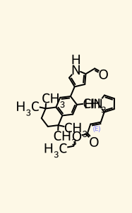 CCOC(=O)/C=C/c1ccc[nH]1.Cc1cc2c(cc1-c1c[nH]c(C=O)c1)C(C)(C)CCC2(C)C